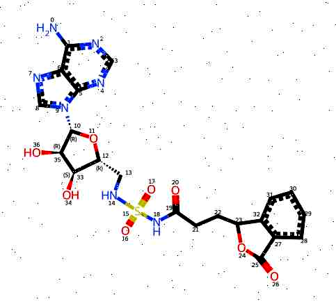 Nc1ncnc2c1ncn2[C@@H]1O[C@H](CNS(=O)(=O)NC(=O)CCC2OC(=O)c3ccccc32)[C@@H](O)[C@H]1O